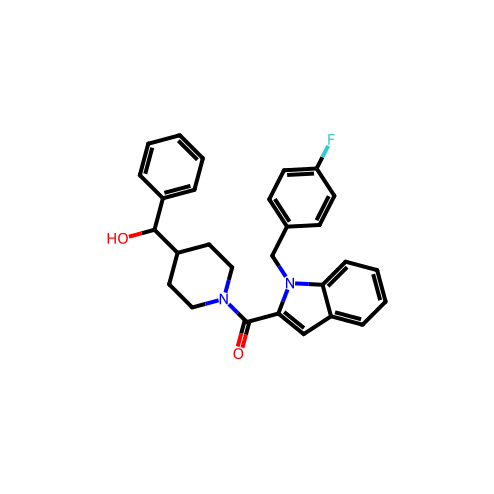 O=C(c1cc2ccccc2n1Cc1ccc(F)cc1)N1CCC(C(O)c2ccccc2)CC1